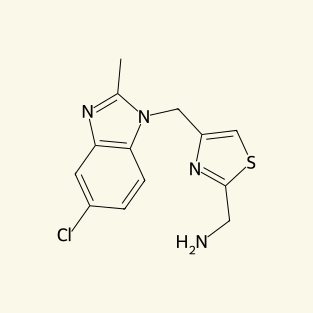 Cc1nc2cc(Cl)ccc2n1Cc1csc(CN)n1